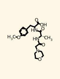 COc1ccc(CC(NC(=O)[C@H](C)NC(=O)CN2CCOCC2)C(=O)O)cc1